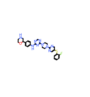 Fc1ccccc1Sc1cnc(N2CCN(c3ncnc(Nc4ccc(C5CNCCO5)cc4)n3)CC2)nc1